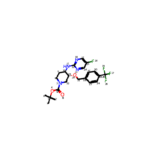 CC(C)(C)OC(=O)N1CC[C@@H](Nc2ncc(F)cn2)[C@H](OCc2ccc(C(F)(F)F)cc2)C1